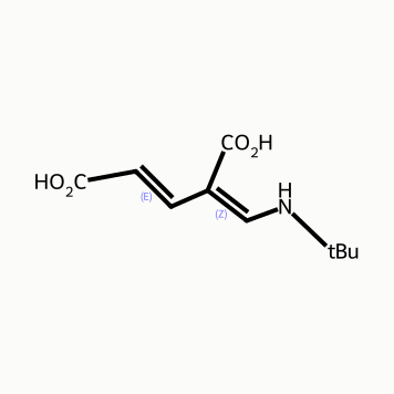 CC(C)(C)N/C=C(/C=C/C(=O)O)C(=O)O